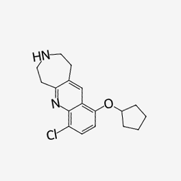 Clc1ccc(OC2CCCC2)c2cc3c(nc12)CCNCC3